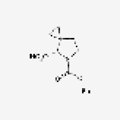 CC(C)(C)OC(=O)N1CCC2(CC2)[C@H]1C(=O)O